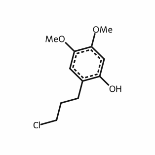 COc1cc(O)c(CCCCl)cc1OC